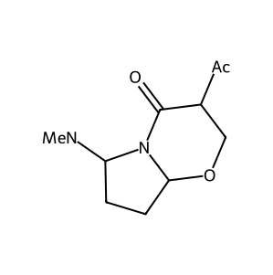 CNC1CCC2OCC(C(C)=O)C(=O)N12